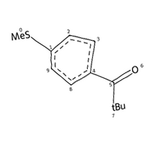 CSc1ccc(C(=O)C(C)(C)C)cc1